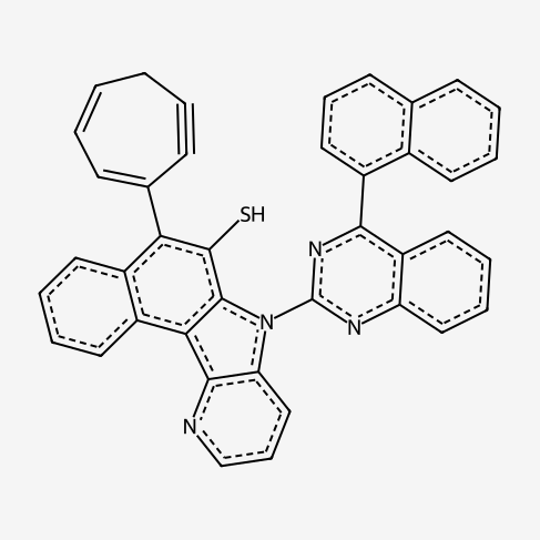 Sc1c(C2=CC=CCC#C2)c2ccccc2c2c3ncccc3n(-c3nc(-c4cccc5ccccc45)c4ccccc4n3)c12